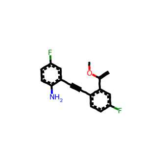 C=C(OC)c1cc(F)ccc1C#Cc1cc(F)ccc1N